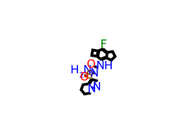 NS(=O)(=NC(=O)Nc1c2c(c(F)c3c1CC3)CCC2)c1cnn2c1CCCC2